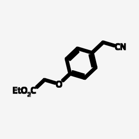 CCOC(=O)COc1ccc(CC#N)cc1